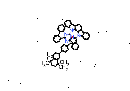 CC1(C)CCC(C)(C)c2cc(-c3ccc(-c4ccc(-n5c6ccccc6c6ccc7c8ccccc8n(-c8nc(-c9ccccc9)nc(-c9ccccc9-c9ccccc9)n8)c7c65)cc4)cc3)ccc21